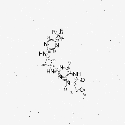 CO[C@H](C)[C@H]1C(=O)Nc2c(C)nc(N[C@H]3C[C@@H](Nc4cnc(C(F)(F)F)cn4)C3)nc2N1C